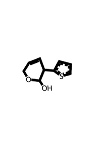 OC1OCC=CC1c1cccs1